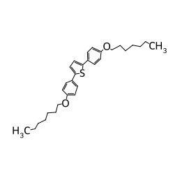 CCCCCCCOc1ccc(-c2ccc(-c3ccc(OCCCCCCC)cc3)s2)cc1